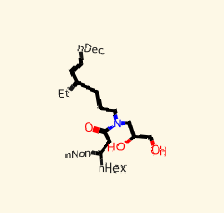 CCCCCCCCCCCCC(CC)CCCN(CC(O)CO)C(=O)CC(CCCCCC)CCCCCCCCC